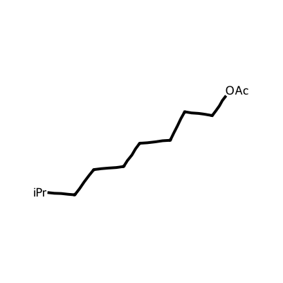 CC(=O)OCCCCCCCC(C)C